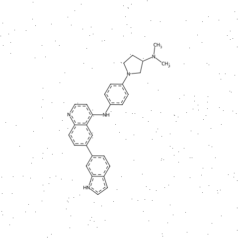 CN(C)C1CCN(c2ccc(Nc3ccnc4ccc(-c5ccc6cc[nH]c6c5)cc34)cc2)C1